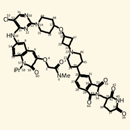 CNC(=O)COc1cc2cc(Nc3nc(N4CCC(OC5CC(N6CCC(c7ccc8c(c7)C(=O)N(C7CCC(=O)NC7=O)C8=O)CC6)C5)CC4)ncc3Cl)ccc2n(C(C)C)c1=O